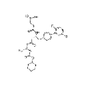 CC(OC(=O)C[C@@H](Cc1ccc(-c2cc(Cl)ccc2F)cc1)NC(=O)CCP(O)O)OC(=O)OC1CCCCC1